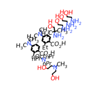 CC(C)(N)CO.CCCCCCCCc1cc(N(C)C)ccc1C(=O)O.CCCN(CCC)CCC.CCc1cc(N(C)C)ccc1C(=O)O.CN(CCO)CCO.NCCO.NCCO.NCCO